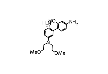 COCCN(CCOC)c1ccc(N)c(-c2ccc(N)cc2O)c1